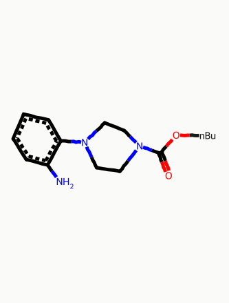 CCCCOC(=O)N1CCN(c2ccccc2N)CC1